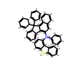 C1=CCC(C2(c3ccccc3)c3ccccc3-c3c(N(c4ccccc4)c4cccc5sc6ccccc6c45)cc4ccccc4c32)C=C1